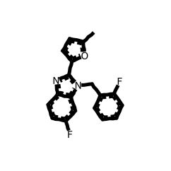 Cc1ccc(-c2nc3ccc(F)cc3n2Cc2ccccc2F)o1